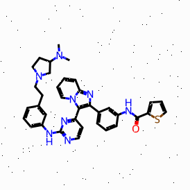 CN(C)C1CCN(CCc2cccc(Nc3nccc(-c4c(-c5cccc(NC(=O)c6cccs6)c5)nc5ccccn45)n3)c2)C1